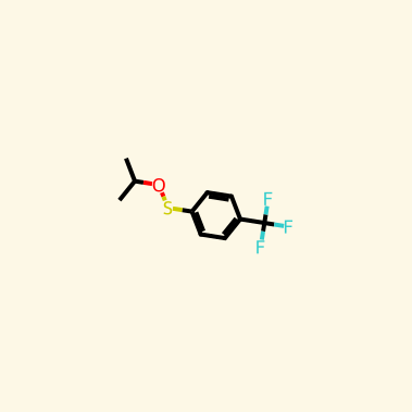 CC(C)OSc1ccc(C(F)(F)F)cc1